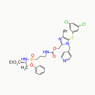 CCOC(=O)[C@H](C)NP(=O)(CCCNC(=O)OCc1nc(C(C)C)c(Sc2cc(Cl)cc(Cl)c2)n1Cc1ccncc1)Oc1ccccc1